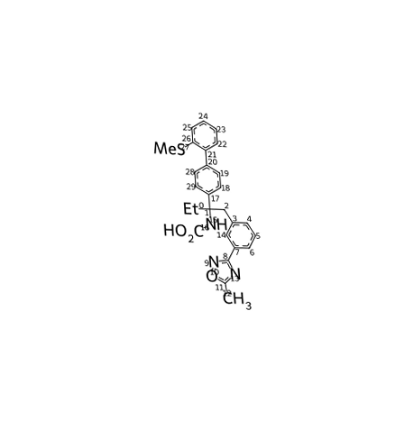 CCC(Cc1cccc(-c2noc(C)n2)c1)(NC(=O)O)c1ccc(-c2ccccc2SC)cc1